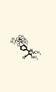 Cn1nc(-c2ccc(O[Si](C)(C)C(C)(C)C)cc2)c(C#N)c1N